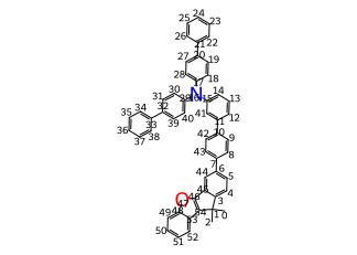 CC1(C)c2ccc(-c3ccc(-c4cccc(N(c5ccc(-c6ccccc6)cc5)c5ccc(-c6ccccc6)cc5)c4)cc3)cc2-c2oc3ccccc3c21